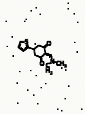 CN(C)C=C1C(=O)CC(c2cccs2)CC1=O